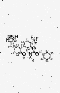 CCN(Cc1cc(C(F)(F)F)ccc1-c1cc(Cc2nn[nH]n2)ccc1OC)C(=O)OCc1ccccc1